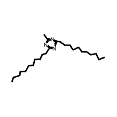 CCCCCCCCCCCc1nc(C)nc(CCCCCCCCCCC)n1